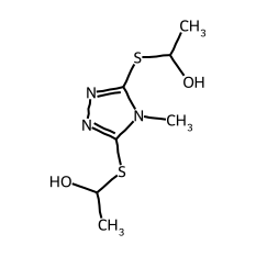 CC(O)Sc1nnc(SC(C)O)n1C